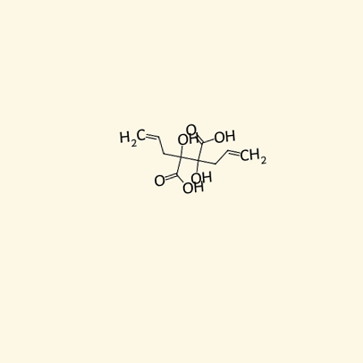 C=CCC(O)(C(=O)O)C(O)(CC=C)C(=O)O